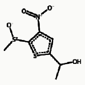 CC(O)c1cc([N+](=O)[O-])c([S+](C)[O-])s1